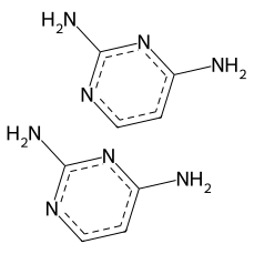 Nc1ccnc(N)n1.Nc1ccnc(N)n1